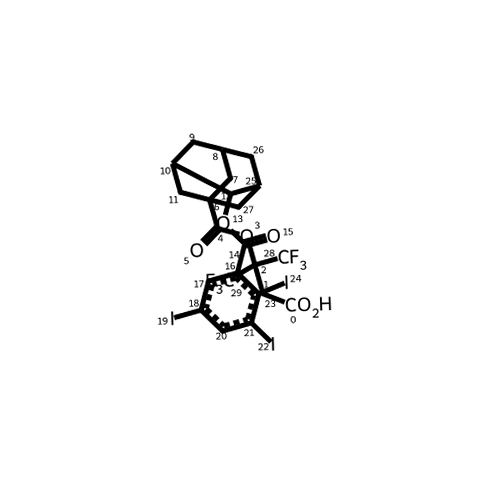 O=C(O)CC(OC(=O)C12CC3CC(C1)C(OC(=O)c1cc(I)cc(I)c1I)C(C3)C2)(C(F)(F)F)C(F)(F)F